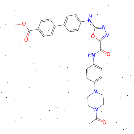 COC(=O)c1ccc(-c2ccc(Nc3nnc(C(=O)Nc4ccc(N5CCN(C(C)=O)CC5)cc4)o3)cc2)cc1